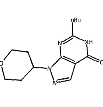 CCCCc1nc2c(cnn2C2CCOCC2)c(=O)[nH]1